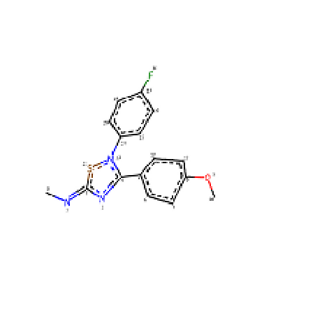 CN=c1nc(-c2ccc(OC)cc2)n(-c2ccc(F)cc2)s1